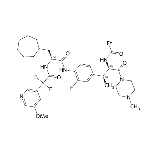 CCC(=O)N[C@@H](C(=O)N1CCN(C)CC1)[C@@H](C)c1ccc(NC(=O)[C@H](CC2CCCCCC2)NC(=O)C(F)(F)c2cncc(OC)c2)c(F)c1